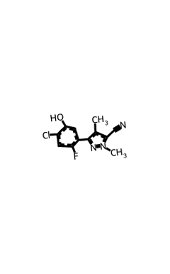 Cc1c(-c2cc(O)c(Cl)cc2F)nn(C)c1C#N